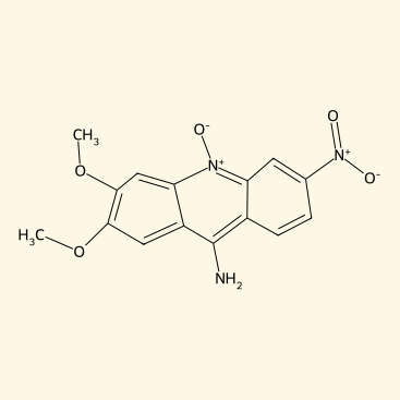 COc1cc2c(N)c3ccc([N+](=O)[O-])cc3[n+]([O-])c2cc1OC